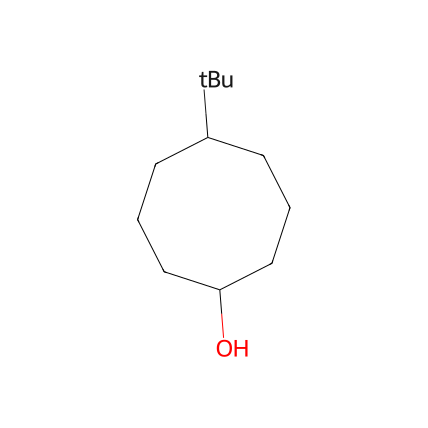 CC(C)(C)C1CCCC(O)CCC1